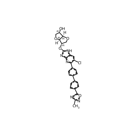 Cc1noc(-c2ccc(-c3ccc(-c4nc5nc(O[C@@H]6CO[C@H]7[C@@H]6OC[C@H]7O)[nH]c5cc4Cl)cc3)cc2)n1